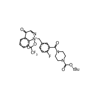 CC(C)(C)OC(=O)N1CCN(C(=O)c2cc(C[N+]3(OC(=O)C(F)(F)F)N=CC(=O)c4ccccc43)ccc2F)CC1